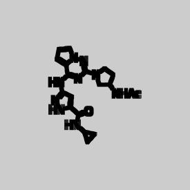 CC(=O)NC1CCN(c2nc(Nc3cc(C(=O)NC4CC4)[nH]n3)c3cccn3n2)C1